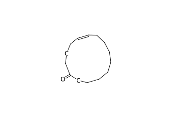 O=C1CCC/C=C\CCCCCCCC1